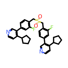 O=S(=O)(Cc1ccc(-c2cnccc2C2CCCC2)cc1F)Cc1ccc(-c2cnccc2C2CCCC2)cc1F